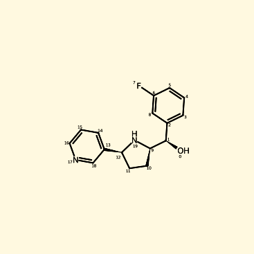 O[C@H](c1cccc(F)c1)[C@H]1CC[C@@H](c2cccnc2)N1